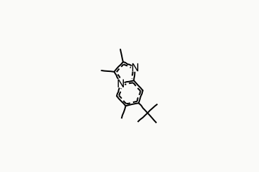 Cc1cn2c(C)c(C)nc2cc1C(C)(C)C